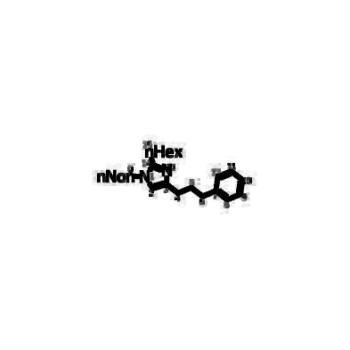 CCCCCCCCCn1cc(CCCc2ccccc2)nc1CCCCCC